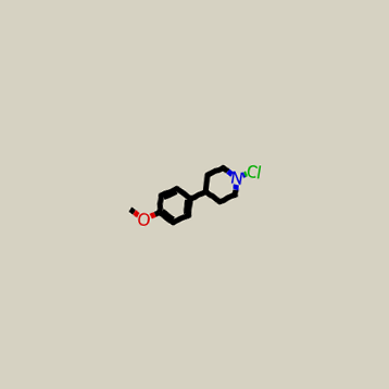 COc1ccc(C2CCN(Cl)CC2)cc1